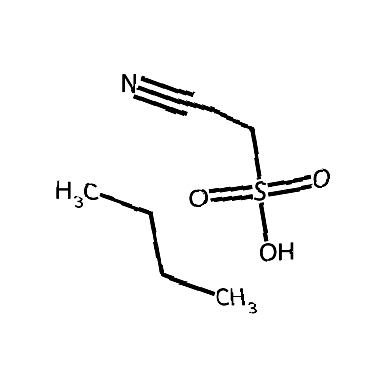 CCCC.N#CCS(=O)(=O)O